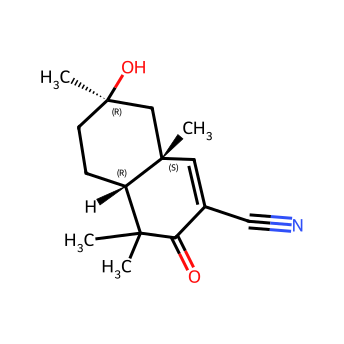 CC1(C)C(=O)C(C#N)=C[C@@]2(C)C[C@](C)(O)CC[C@@H]12